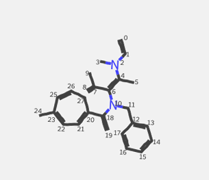 C=CN(C)/C(C)=C(\C(=C)C)N(Cc1ccccc1)C(=C)C1=CC=C(C)C=CC1